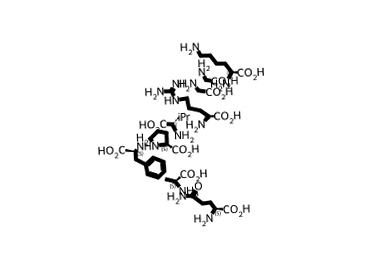 CC(C)[C@H](N)C(=O)O.C[C@H](N)C(=O)O.N=C(N)NCCC[C@H](N)C(=O)O.NC(=O)CC[C@H](N)C(=O)O.NCC(=O)O.NCC(=O)O.NCCCC[C@H](N)C(=O)O.N[C@@H](Cc1ccccc1)C(=O)O.O=C(O)[C@@H]1CCCN1